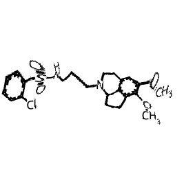 COc1cc2c3c(c1OC)CCC3N(CCCNS(=O)(=O)c1ccccc1Cl)CC2